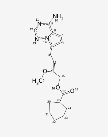 CO[C@@H](CCc1ccc2c(N)ncnn12)COC(=O)C1CCCCC1